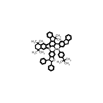 CC(C)(C)c1ccc(N2B3c4cc5c(cc4-n4c6cc7c(cc6c6c8c(c(c3c64)-c3cc4c(cc32)Cc2ccccc2-4)C(C)(C)c2ccccc2-8)C(C)(C)CCC7(C)C)C(c2ccccc2)C(c2ccccc2)O5)cc1